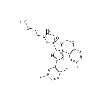 COCCOCC(=O)N1N=C(c2cc(F)ccc2F)S[C@@]12c1cc(F)ccc1OC[C@H]2CCN